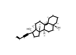 C=CC#C[C@]1(O)CC[C@H]2[C@@H]3CC[C@@]4(O)CCCCC4=C3CC[C@@]21C